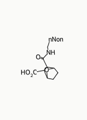 CCCCCCCCCCNC(=O)C1C2CCC(O2)C1C(=O)O